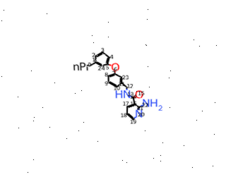 CCCc1cccc(Oc2cccc(CNC(=O)c3cccnc3N)c2)c1